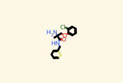 CC(N)(COc1ccccc1Cl)C(=O)NCC1=CCC=CS1